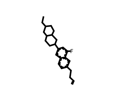 C=CCCc1ccc2cc(C3CCC4CC(CC)CCC4C3)cc(F)c2c1